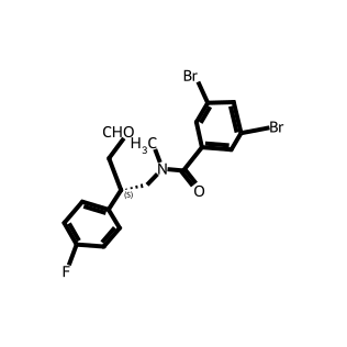 CN(C[C@@H](CC=O)c1ccc(F)cc1)C(=O)c1cc(Br)cc(Br)c1